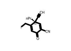 C#C[C@]1(CCC)C=C(C#N)C(=O)C=C1CI